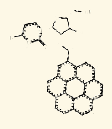 Nc1ccn([C@@H]2O[C@H](CO)C(O)[C@@H]2OCc2cc3ccc4ccc5ccc6ccc7ccc2c2c7c6c5c4c32)c(=O)n1